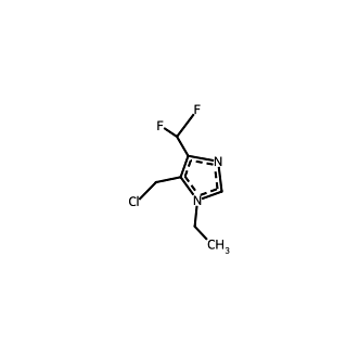 CCn1cnc(C(F)F)c1CCl